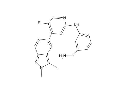 Cc1c2cc(-c3cc(Nc4cc(CN)ccn4)ncc3F)ccc2nn1C